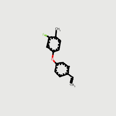 C=Cc1ccc(Oc2ccc(C)c(F)c2)cc1